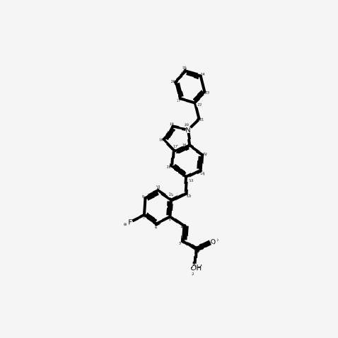 O=C(O)C=Cc1cc(F)ccc1Cc1ccc2c(ccn2Cc2ccccc2)c1